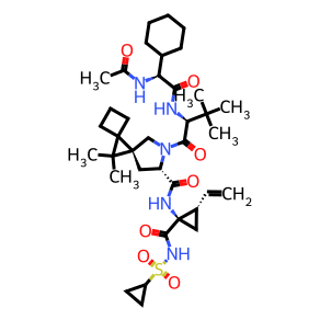 C=C[C@@H]1C[C@]1(NC(=O)[C@@H]1C[C@@]2(CN1C(=O)[C@@H](NC(=O)[C@@H](NC(C)=O)C1CCCCC1)C(C)(C)C)C(C)(C)C21CCC1)C(=O)NS(=O)(=O)C1CC1